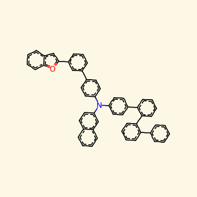 c1ccc(-c2ccccc2-c2ccccc2-c2ccc(N(c3ccc(-c4cccc(-c5cc6ccccc6o5)c4)cc3)c3ccc4ccccc4c3)cc2)cc1